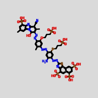 Cc1cc(S(=O)(=O)O)c2nc3c(C#N)c(C)c(N=Nc4cc(C)c(N=Nc5cc(N)c(N=Nc6nc7c(S(=O)(=O)O)cc8c(S(=O)(=O)O)cc(S(=O)(=O)O)cc8c7s6)cc5SCCCS(=O)(=O)O)cc4OCCCS(=O)(=O)O)c(O)n3c2c1